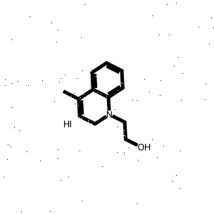 CC1=CCN(CCO)c2ccccc21.I